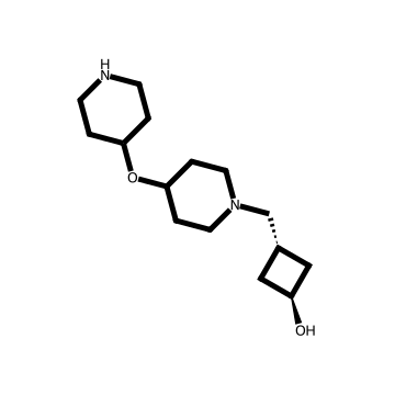 O[C@H]1C[C@H](CN2CCC(OC3CCNCC3)CC2)C1